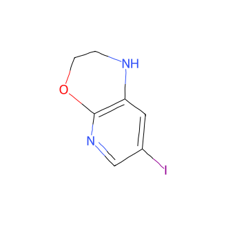 Ic1cnc2c(c1)NCCO2